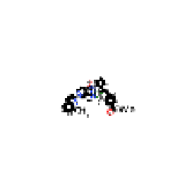 COC(=O)c1ccc(CC(Cl)[C@H]2CCCC2NC(=O)[C@H]2CCN(c3ccc4cccc(C)c4n3)CC2(C)C)cc1